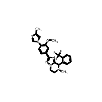 COc1cc(-c2nc3n(n2)CCN(C)C3c2ccccc2C(F)(F)F)ccc1-n1cnc(C)c1